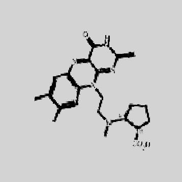 C=c1nc2c(c(=O)[nH]1)=Nc1cc(C)c(C)cc1N2CCN(C)[C@H]1CCC[C@H]1C(=O)O